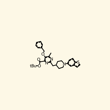 Cc1nc(CC2CCN(c3ccc4sccc4c3)CC2)nc(C(=O)OC(C)(C)C)c1OCc1ccccc1